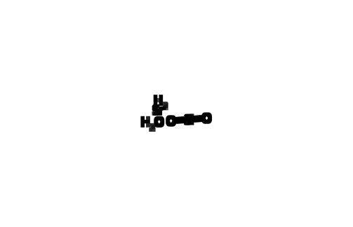 O.O=[Si]=O.[SrH2]